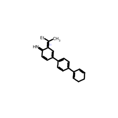 CC/C(C)=C1/C=C(c2ccc(C3=CCCC=C3)cc2)C=CC1=N